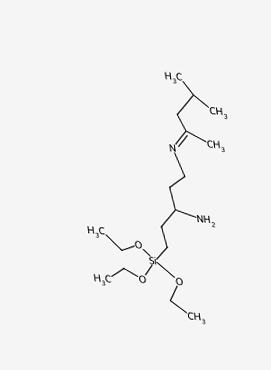 CCO[Si](CCC(N)CC/N=C(\C)CC(C)C)(OCC)OCC